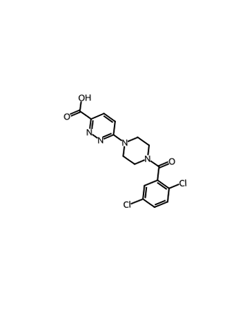 O=C(O)c1ccc(N2CCN(C(=O)c3cc(Cl)ccc3Cl)CC2)nn1